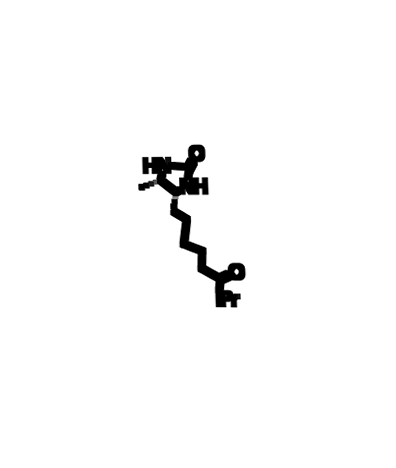 CC(C)C(=O)CCCCC[C@H]1NC(=O)N[C@H]1C